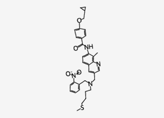 CSCCCCN(Cc1cnc2c(C)c(NC(=O)c3ccc(OCC4CC4)cc3)ccc2c1)Cc1ccccc1[N+](=O)[O-]